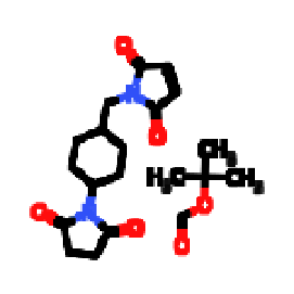 CC(C)(C)OC=O.O=C1C=CC(=O)N1CC1CCC(N2C(=O)CCC2=O)CC1